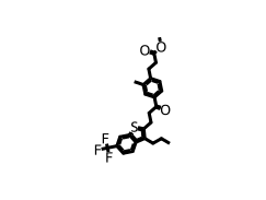 CCCc1c(CCC(=O)c2ccc(CCC(=O)OC)c(C)c2)sc2cc(C(F)(F)F)ccc12